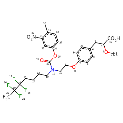 CCOC(Cc1ccc(OCCN(CCCCC(F)(F)C(F)(F)C(F)(F)F)C(=O)Oc2ccc(C)c([N+](=O)[O-])c2)cc1)C(=O)O